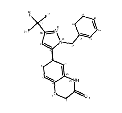 O=C1COC2=CCC(c3cc(C(F)(F)F)nn3CC3=CC=CCC3)C=C2N1